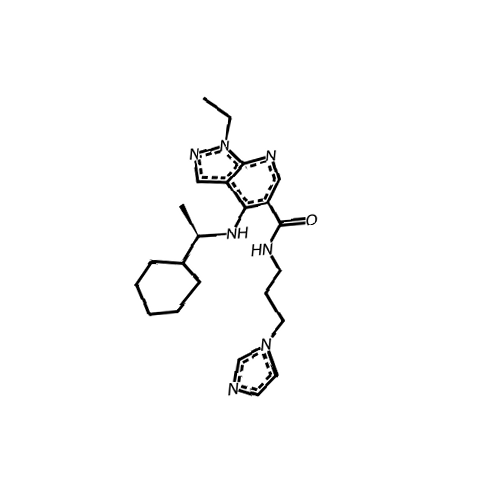 CCn1ncc2c(N[C@H](C)C3CCCCC3)c(C(=O)NCCCn3ccnc3)cnc21